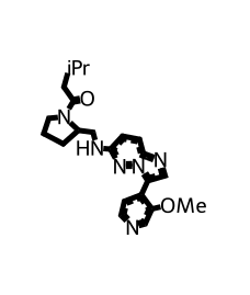 COc1cnccc1-c1cnc2ccc(NCC3CCCN3C(=O)CC(C)C)nn12